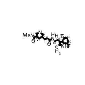 CNC(=O)c1cncc(/C=C/C(=O)NCCc2c(C)[nH]c3c(F)ccc(C)c23)c1